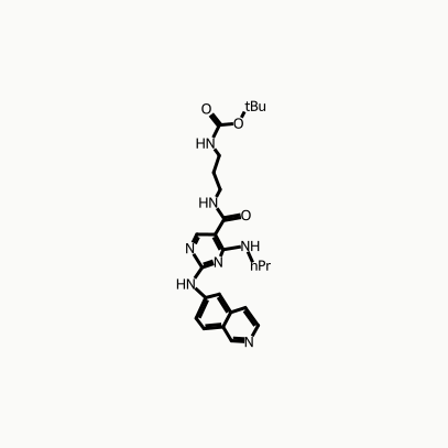 CCCNc1nc(Nc2ccc3cnccc3c2)ncc1C(=O)NCCCNC(=O)OC(C)(C)C